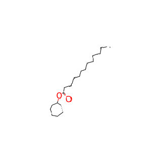 [CH2]CCCCCCCCCCCC(=O)OC1CCCCCC1